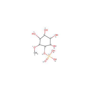 COC1C(O)C(O)C(O)C(O)C1OP(=O)(O)O